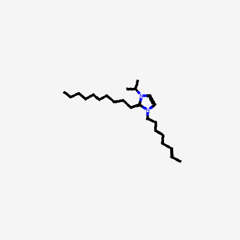 CCCCCCCCCCC1N(CCCCCCCC)C=CN1C(C)C